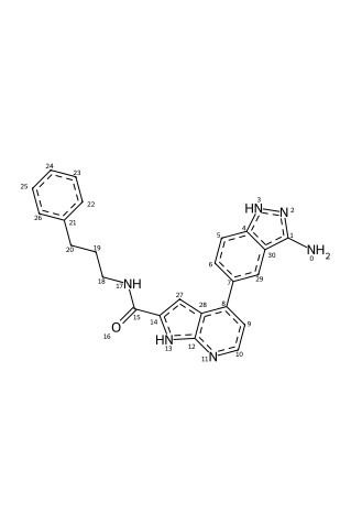 Nc1n[nH]c2ccc(-c3ccnc4[nH]c(C(=O)NCCCc5ccccc5)cc34)cc12